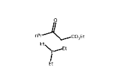 CCCC(=O)CC(=O)OCC.CCP(CC)CC